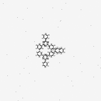 c1ccc(-c2nc(-c3ccccc3)nc(-c3ccc(-c4cc5ccccc5cc4-c4ccc(-c5nc(-c6ccccc6)nc(-c6ccccc6)n5)cc4)cc3)n2)cc1